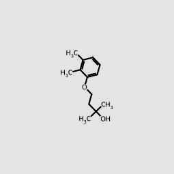 Cc1[c]ccc(OCCC(C)(C)O)c1C